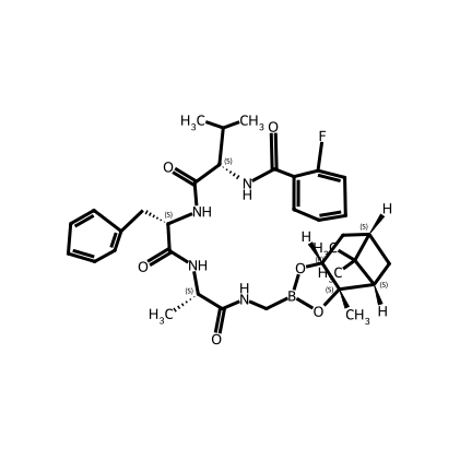 CC(C)[C@H](NC(=O)c1ccccc1F)C(=O)N[C@@H](Cc1ccccc1)C(=O)N[C@@H](C)C(=O)NCB1O[C@@H]2C[C@@H]3C[C@@H](C3(C)C)[C@]2(C)O1